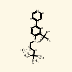 C[C@H](COc1ccc(-c2ccncc2)cc1C(F)(F)F)CC(C)(C)N